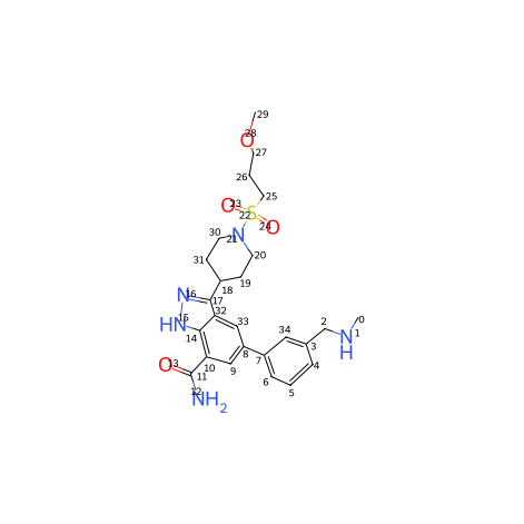 CNCc1cccc(-c2cc(C(N)=O)c3[nH]nc(C4CCN(S(=O)(=O)CCCOC)CC4)c3c2)c1